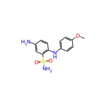 COc1ccc(Nc2ccc(N)cc2S(N)(=O)=O)cc1